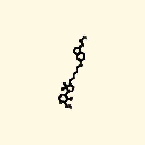 CCON=C1CCc2cc(OCCCCCN3CCN(c4ccnc(N)c4F)S3(=O)=O)ccc21